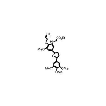 C=CCOc1c(NCC(=O)OCC)cc(C2CCC(c3cc(OC)c(OC)c(OC)c3)O2)cc1OC